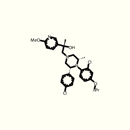 CCCOc1ccc(N2[C@@H](C)CN(C[C@@](C)(O)c3ccc(OC)nc3)C[C@H]2c2ccc(Cl)cc2)c(Cl)c1